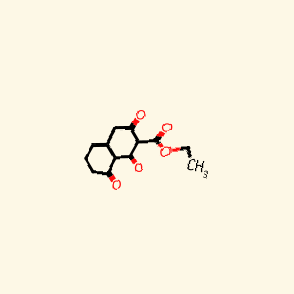 CCOC(=O)C1C(=O)CC2CCCC(=O)C2C1=O